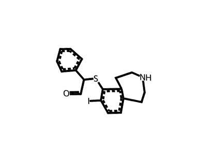 O=CC(Sc1c(I)ccc2c1CCNCC2)c1ccccc1